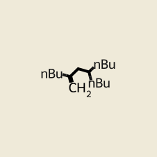 C=C(CCCC)CC(CCCC)CCCC